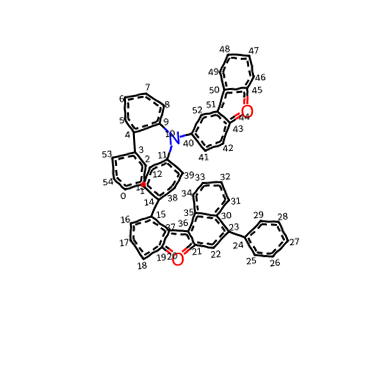 c1ccc(-c2ccccc2N(c2ccc(-c3cccc4oc5cc(-c6ccccc6)c6ccccc6c5c34)cc2)c2ccc3oc4ccccc4c3c2)cc1